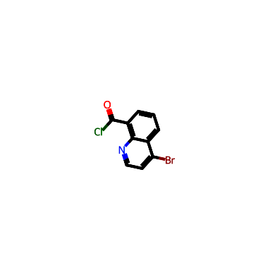 O=C(Cl)c1cccc2c(Br)ccnc12